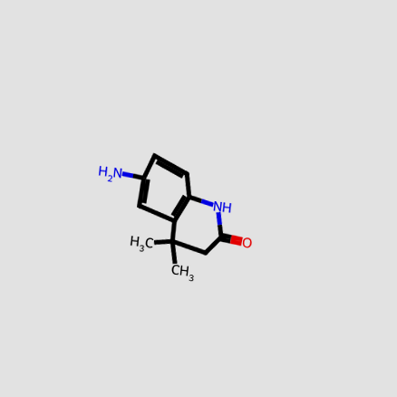 CC1(C)CC(=O)Nc2ccc(N)cc21